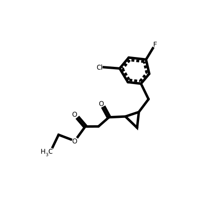 CCOC(=O)CC(=O)C1CC1Cc1cc(F)cc(Cl)c1